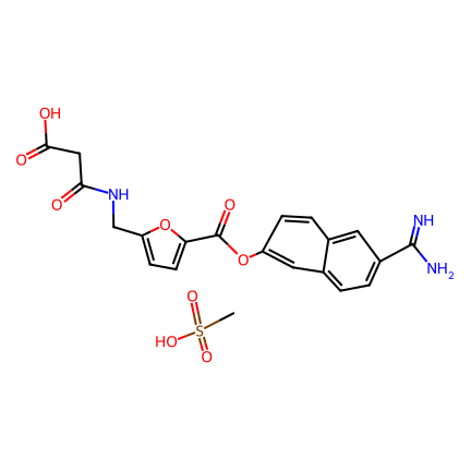 CS(=O)(=O)O.N=C(N)c1ccc2cc(OC(=O)c3ccc(CNC(=O)CC(=O)O)o3)ccc2c1